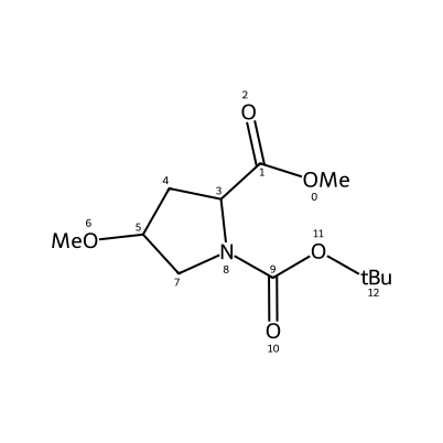 COC(=O)C1CC(OC)CN1C(=O)OC(C)(C)C